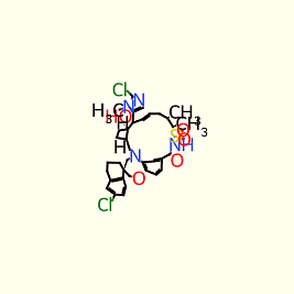 C[C@@H]1[C@@H](C)C/C=C/[C@](O)(c2cnc(Cl)n2C)[C@@H]2CC[C@H]2CN2C[C@@]3(CCCc4cc(Cl)ccc43)COc3ccc(cc32)C(=O)NS1(=O)=O